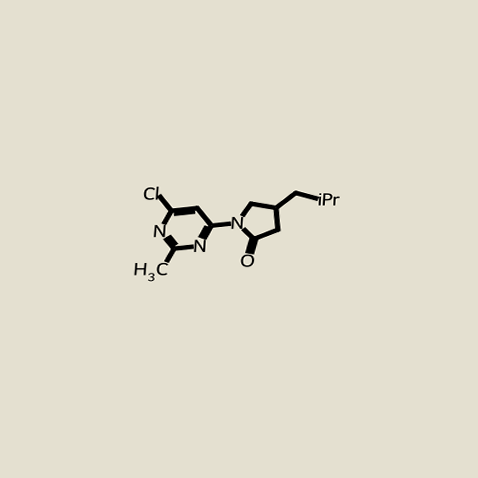 Cc1nc(Cl)cc(N2CC(CC(C)C)CC2=O)n1